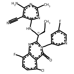 CC[C@H](Nc1nc(C)nc(N)c1C#N)c1nc2c(F)ccc(Cl)c2c(=O)n1-c1cncc(F)c1